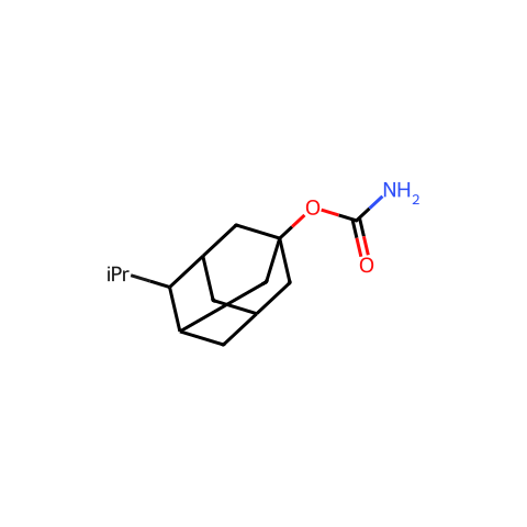 CC(C)C1C2CC3CC1CC(OC(N)=O)(C3)C2